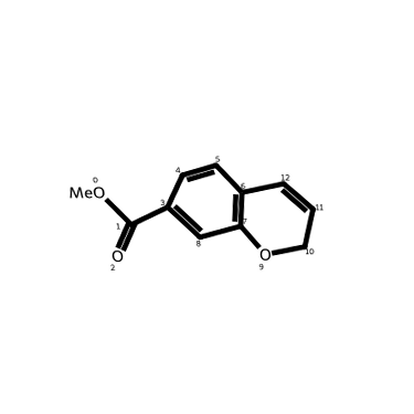 COC(=O)c1ccc2c(c1)OCC=C2